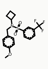 COc1ccc(CN(C2CCC2)S(=O)(=O)c2cccc(C(F)(F)F)c2)cc1